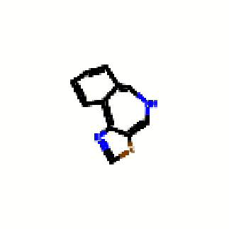 C1=c2ccccc2=c2ncsc2=CN1